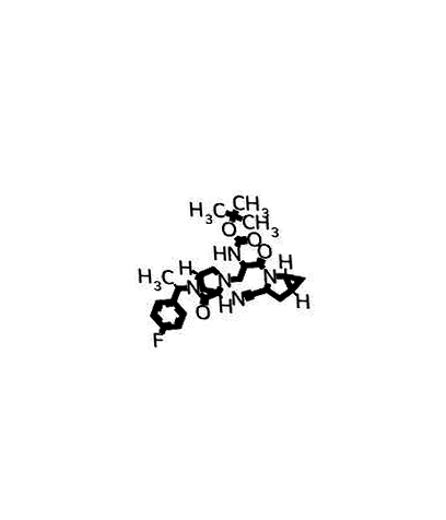 C[C@@H](c1ccc(F)cc1)N1C(=O)[C@@H]2C[C@H]1CN2CC(NC(=O)OC(C)(C)C)C(=O)N1C(C#N)C[C@@H]2C[C@@H]21